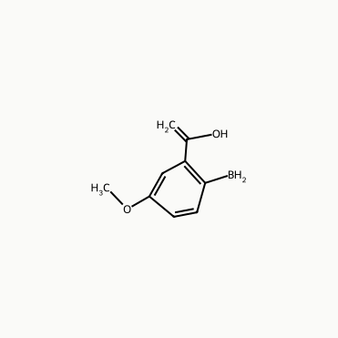 Bc1ccc(OC)cc1C(=C)O